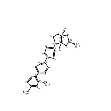 Cc1ccc(-c2ccc(-c3ccc(N4CC[C@@H]5CN(C)C[C@@H]54)cc3)cc2)c(C)n1